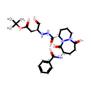 CC(C)(C)OC(=O)C[C@@H](C=O)NNC(=O)[C@@H]1CCCN2C(=O)CC[C@H](NC(=O)c3ccccc3)C(=O)N12